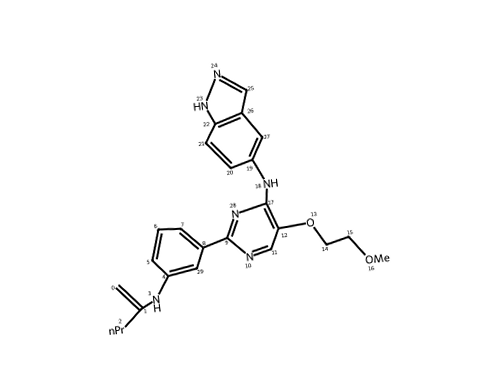 C=C(CCC)Nc1cccc(-c2ncc(OCCOC)c(Nc3ccc4[nH]ncc4c3)n2)c1